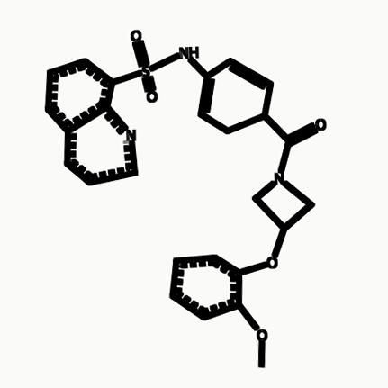 COc1ccccc1OC1CN(C(=O)C2C=CC(NS(=O)(=O)c3cccc4cccnc34)=CC2)C1